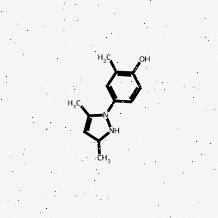 CC1=CC(C)NN1c1ccc(O)c(C)c1